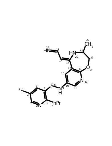 CCCc1ncc(F)cc1SNc1cnc2c(c1)/C(=C/C=N)NC(C)CO2